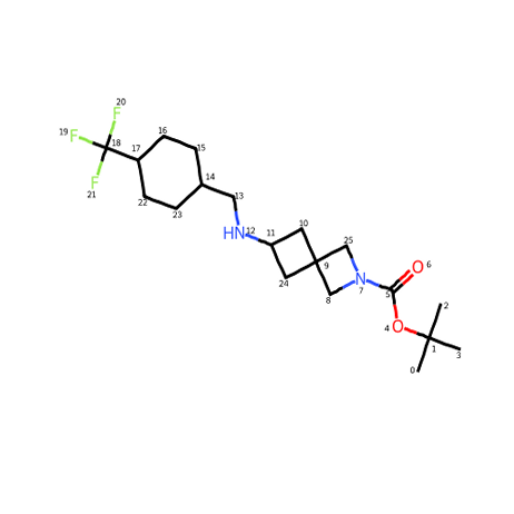 CC(C)(C)OC(=O)N1CC2(CC(NCC3CCC(C(F)(F)F)CC3)C2)C1